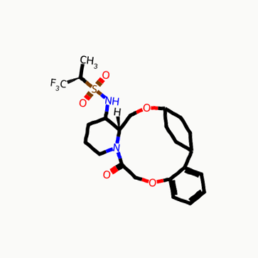 C[C@H](C(F)(F)F)S(=O)(=O)NC1CCCN2C(=O)COc3ccccc3C3CCC(CC3)OC[C@@H]12